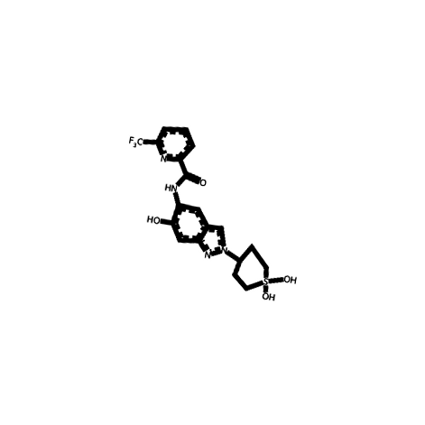 O=C(Nc1cc2cn(C3CCS(O)(O)CC3)nc2cc1O)c1cccc(C(F)(F)F)n1